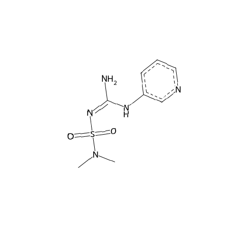 CN(C)S(=O)(=O)/N=C(/N)Nc1cccnc1